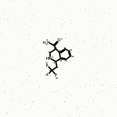 NC(=O)C1CNC(CC(F)(F)F)c2ccccc21